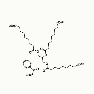 CCCCCCC(=O)c1ccccc1.CCCCCCCCCCCCCCCCCC(=O)OCC(COC(=O)CCCCCCCCCCCCCCCCC)OC(=O)CCCCCCCCCCCCCCCCC